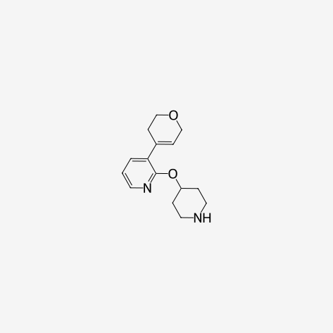 C1=C(c2cccnc2OC2CCNCC2)CCOC1